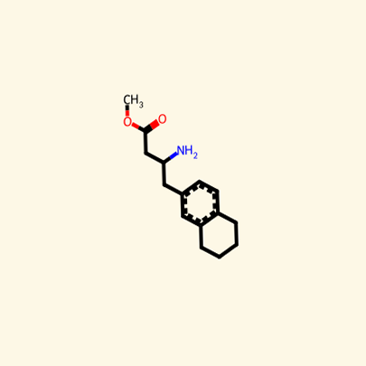 COC(=O)CC(N)Cc1ccc2c(c1)CCCC2